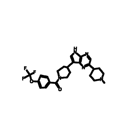 CN1CCC(c2cnc3[nH]cc(C4CCN(C(=O)c5ccc(OC(F)(F)F)cc5)CC4)c3n2)CC1